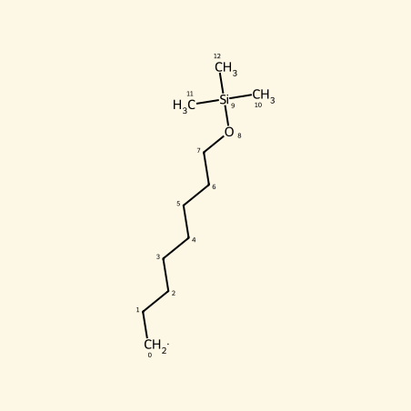 [CH2]CCCCCCCO[Si](C)(C)C